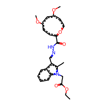 CCOC(=O)Cn1c(C)c(/C=N/NC(=O)c2ccc(OC)cc(OC)cco2)c2ccccc21